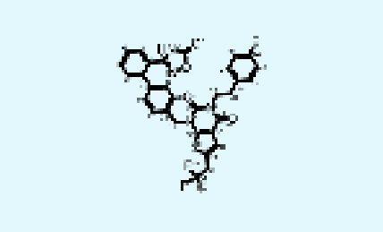 O=c1[nH]c(-c2ccccc2-c2ccc(Cn3c(=O)n(CCc4ccc(F)cc4)c(=O)c4cc(CC(F)(F)F)sc43)cc2)no1